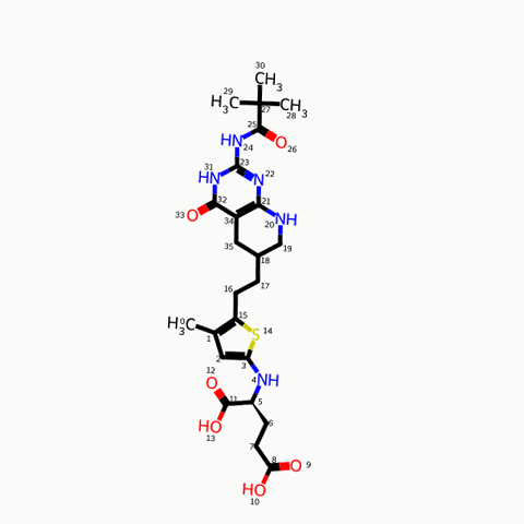 Cc1cc(N[C@@H](CCC(=O)O)C(=O)O)sc1CCC1CNc2nc(NC(=O)C(C)(C)C)[nH]c(=O)c2C1